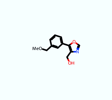 COCc1cccc(-c2ocnc2CO)c1